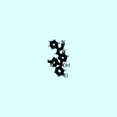 Cc1ccc(C(O)(c2cccc(Cl)c2)c2ccc3nc(C#N)c(-c4ccccc4)cc3c2)cn1